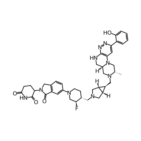 C[C@H]1CN2c3cc(-c4ccccc4O)nnc3NC[C@H]2CN1C[C@H]1[C@@H]2CN(C[C@H]3CCN(c4ccc5c(c4)C(=O)N(C4CCC(=O)NC4=O)C5)C[C@@H]3F)C[C@@H]21